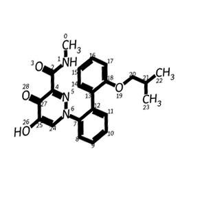 CNC(=O)c1nn(-c2ccccc2-c2ccccc2OCC(C)C)cc(O)c1=O